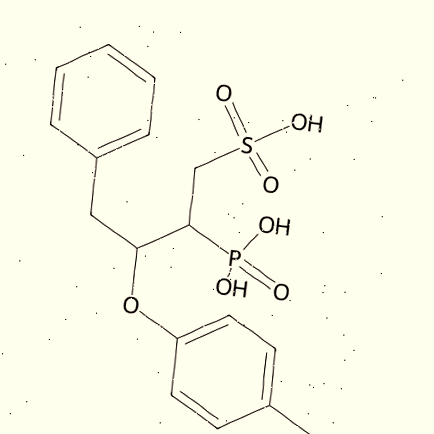 Cc1ccc(OC(Cc2ccccc2)C(CS(=O)(=O)O)P(=O)(O)O)cc1